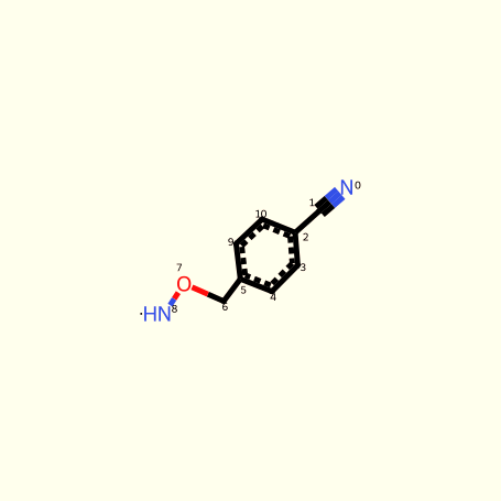 N#Cc1ccc(CO[NH])cc1